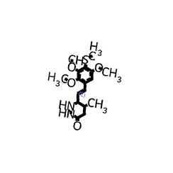 COc1cc(/C=C/C2NNC(=O)CC2C)c(OC)c(OC)c1SC